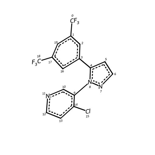 FC(F)(F)c1cc(-c2ccnn2-c2cnccc2Cl)cc(C(F)(F)F)c1